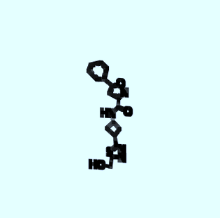 O=C(N[C@H]1C[C@H](c2nnc(CO)s2)C1)c1cc(-c2ccccc2)on1